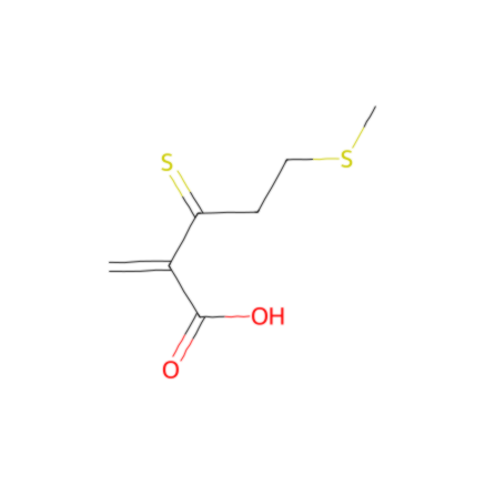 C=C(C(=O)O)C(=S)CCSC